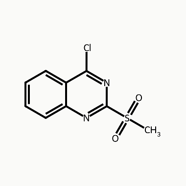 CS(=O)(=O)c1nc(Cl)c2ccccc2n1